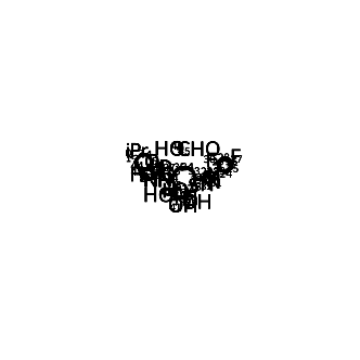 CC(C)C[C@@H]1CCO[C@@H]2[C@H](CN[C@@H]2C(=O)N[C@H]2[C@H]3O[C@H](S[C@H](c4cn(-c5ccc(F)cc5F)nn4)C/C=C\[C@H]2C)[C@H](O)[C@@H](O)[C@H]3O)C1.O=CO